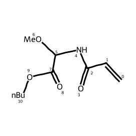 C=CC(=O)NC(OC)C(=O)OCCCC